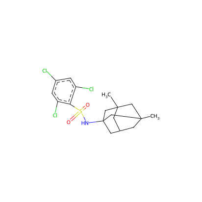 CC12CC3CC(C)(C1)CC(NS(=O)(=O)c1c(Cl)cc(Cl)cc1Cl)(C3)C2